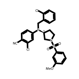 COc1cccc(S(=O)(=O)N2CC[C@H](N(Cc3ccccc3Cl)c3ccc(C#N)c(Cl)c3)C2)c1